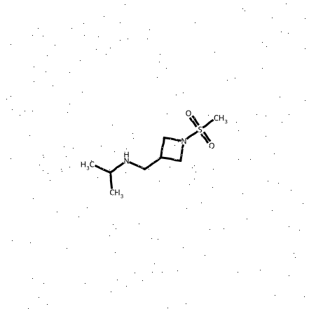 CC(C)NCC1CN(S(C)(=O)=O)C1